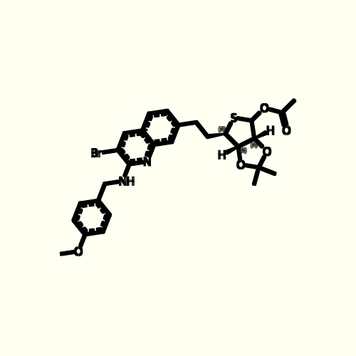 COc1ccc(CNc2nc3cc(CC[C@H]4SC(OC(C)=O)[C@@H]5OC(C)(C)O[C@H]45)ccc3cc2Br)cc1